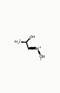 CC(O)C=NO